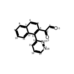 O=CC(=O)c1ccc2ccccc2c1-c1cccnn1